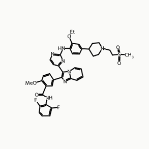 CCOc1cc(C2CCN(CCS(C)(=O)=O)CC2)ccc1Nc1nccc(-c2c(-c3ccc(OC)c(C(=O)Nc4c(F)cccc4F)c3)nc3ccccn23)n1